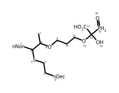 CCCCCCCCCCCCSC(CCCCCCCCC)C(C)OCCCOC(O)([PH2]=O)C(=O)O